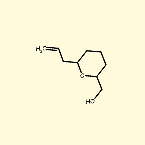 C=CCC1CCCC(CO)O1